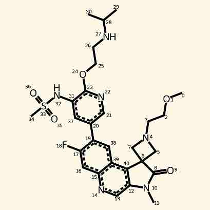 COCCN1CC2(C1)C(=O)N(C)c1cnc3cc(F)c(-c4cnc(OCCNC(C)C)c(NS(C)(=O)=O)c4)cc3c12